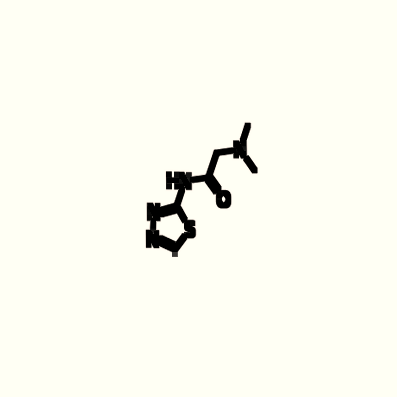 CN(C)CC(=O)Nc1nn[c]s1